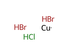 Br.Br.Cl.[Cu]